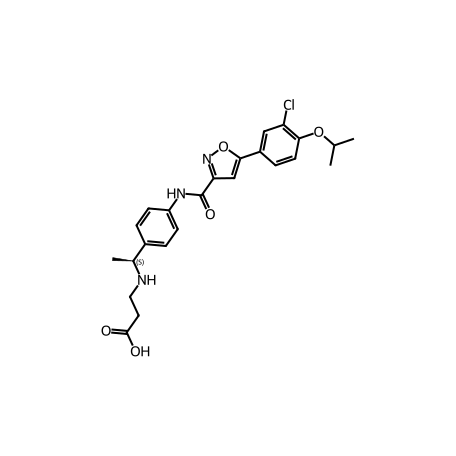 CC(C)Oc1ccc(-c2cc(C(=O)Nc3ccc([C@H](C)NCCC(=O)O)cc3)no2)cc1Cl